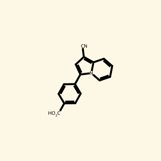 N#Cc1cc(-c2ccc(C(=O)O)cc2)n2ccccc12